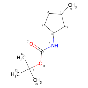 CC1CCC(NC(=O)OC(C)(C)C)C1